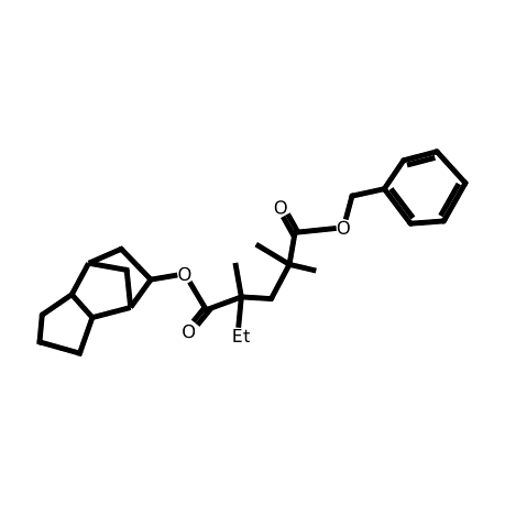 CCC(C)(CC(C)(C)C(=O)OCc1ccccc1)C(=O)OC1CC2CC1C1CCCC21